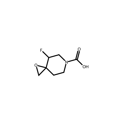 O=C(O)N1CCC2(CO2)C(F)C1